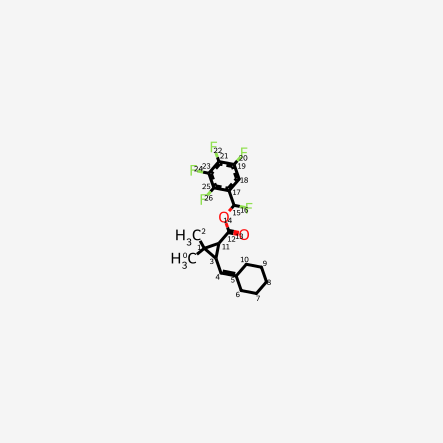 CC1(C)C(C=C2CCCCC2)C1C(=O)OC(F)c1cc(F)c(F)c(F)c1F